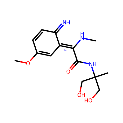 CN/C(C(=O)NC(C)(CO)CO)=C1/C=C(OC)C=CC1=N